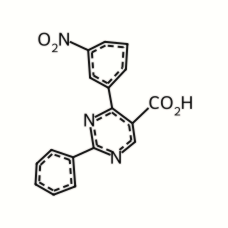 O=C(O)c1cnc(-c2ccccc2)nc1-c1cccc([N+](=O)[O-])c1